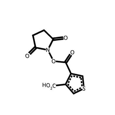 O=C(O)c1cscc1C(=O)ON1C(=O)CCC1=O